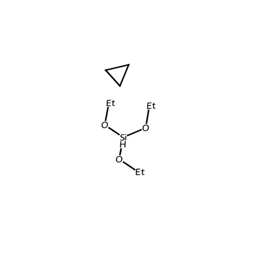 C1CC1.CCO[SiH](OCC)OCC